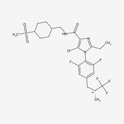 CCc1nc(C(=O)NCC2CCC(S(C)(=O)=O)CC2)c(Cl)n1-c1c(F)cc(C[C@@H](C)C(F)(F)F)cc1F